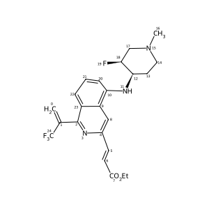 C=C(c1nc(/C=C/C(=O)OCC)cc2c(N[C@@H]3CCN(C)C[C@@H]3F)cccc12)C(F)(F)F